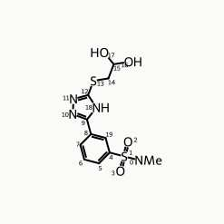 CNS(=O)(=O)c1cccc(-c2nnc(SCC(O)O)[nH]2)c1